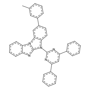 Cc1cccc(-c2ccc3c(c2)n2c4ccccc4nc2n3-c2nc(-c3ccccc3)cc(-c3ccccc3)n2)c1